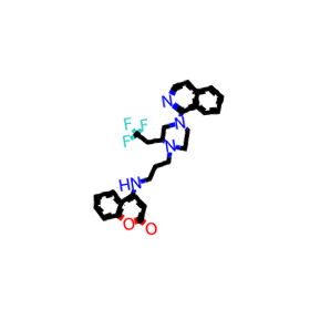 O=c1cc(NCCCN2CCN(c3nccc4ccccc34)CC2CC(F)(F)F)c2ccccc2o1